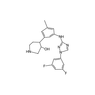 Cc1cc(Nc2ncn(-c3cc(F)cc(F)c3)n2)cc(C2CCNCC2O)c1